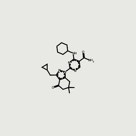 CC1(C)CC(=O)c2c(CC3CC3)nn(-c3ncc(C(N)=O)c(NC4CCCCC4)n3)c2C1